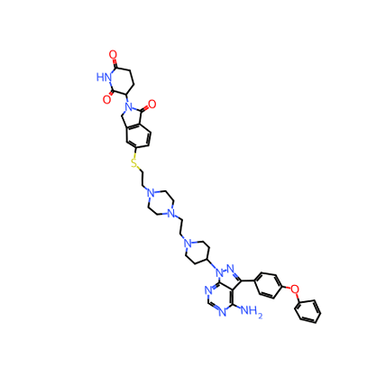 Nc1ncnc2c1c(-c1ccc(Oc3ccccc3)cc1)nn2C1CCN(CCN2CCN(CCSc3ccc4c(c3)CN(C3CCC(=O)NC3=O)C4=O)CC2)CC1